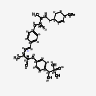 COC1C=CC(CNN(C)[PH](=S)Oc2ccc(/C=N/N(C)[PH](=O)Oc3ccc(C(O)P(=O)(O)O)cc3)cc2)CC1